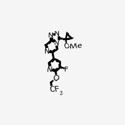 COC1(c2nnc3cnc(-c4cnc(OCC(F)(F)F)c(F)c4)cn23)CC1